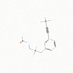 CCCC(O)(C#Cc1cccc(CC(C)(C)CNC(=O)C(F)(F)F)c1)CCC